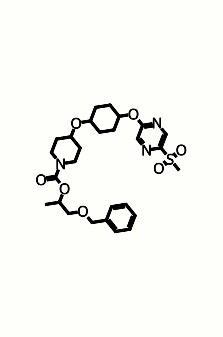 CC(COCc1ccccc1)OC(=O)N1CCC(OC2CCC(Oc3cnc(S(C)(=O)=O)cn3)CC2)CC1